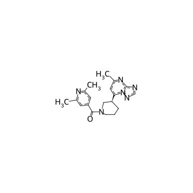 Cc1cc(C(=O)N2CCC[C@H](c3cc(C)nc4ncnn34)C2)cc(C)n1